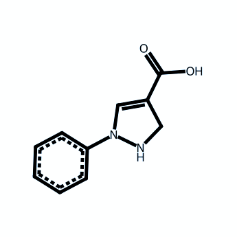 O=C(O)C1=CN(c2ccccc2)NC1